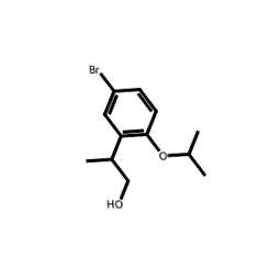 C[C](CO)c1cc(Br)ccc1OC(C)C